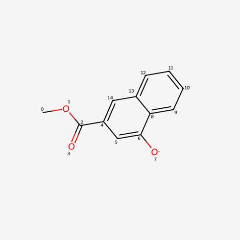 COC(=O)c1cc([O])c2ccccc2c1